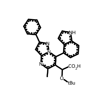 Cc1nc2cc(-c3ccccc3)nn2c(-c2cccc3[nH]ccc23)c1C(OC(C)(C)C)C(=O)O